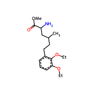 CCOc1cccc(CCC(C)CC(N)C(=O)OC)c1OCC